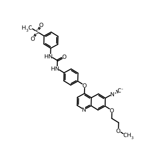 [C-]#[N+]c1cc2c(Oc3ccc(NC(=O)Nc4cccc(S(C)(=O)=O)c4)cc3)ccnc2cc1OCCOC